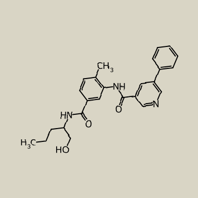 CCCC(CO)NC(=O)c1ccc(C)c(NC(=O)c2cncc(-c3ccccc3)c2)c1